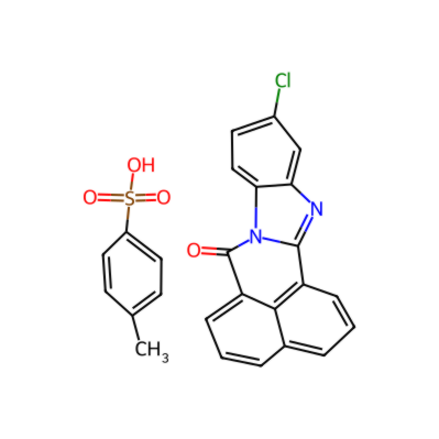 Cc1ccc(S(=O)(=O)O)cc1.O=c1c2cccc3cccc(c32)c2nc3cc(Cl)ccc3n12